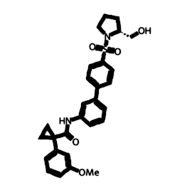 COc1cccc(C2(C(=O)Nc3cccc(-c4ccc(S(=O)(=O)N5CCC[C@@H]5CO)cc4)c3)CC2)c1